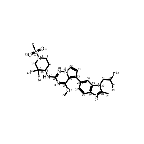 COc1nc(N[C@@H]2CCN(S(C)(=O)=O)CC2(F)F)nn2ccc(-c3ccc4nc(C)n(CC(F)F)c4c3)c12